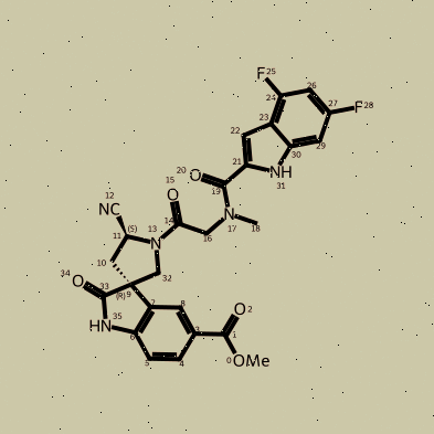 COC(=O)c1ccc2c(c1)[C@@]1(C[C@@H](C#N)N(C(=O)CN(C)C(=O)c3cc4c(F)cc(F)cc4[nH]3)C1)C(=O)N2